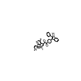 C=N/C=C\N(N)c1ncc(F)c2c(C(=O)C(=O)N3CCC(c4c(-c5ccccc5)[nH]c5ccccc45)CC3)c[nH]c12